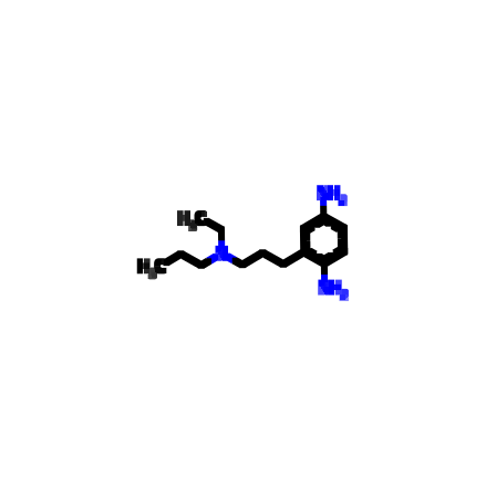 CCCN(CC)CCCc1cc(N)ccc1N